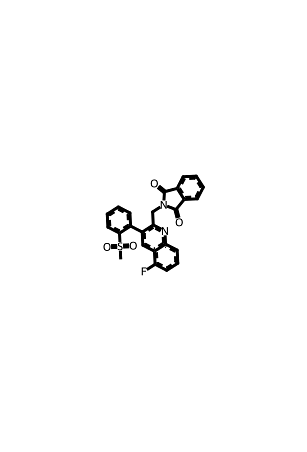 CS(=O)(=O)c1ccccc1-c1cc2c(F)cccc2nc1CN1C(=O)c2ccccc2C1=O